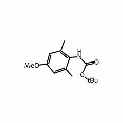 COc1cc(C)c(NC(=O)OC(C)(C)C)c(C)c1